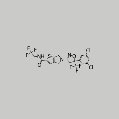 O=C(NCC(F)(F)F)c1cc2c(s1)CN(C1=NOC(c3cc(Cl)cc(Cl)c3)(C(F)(F)F)C1)C2